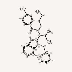 Cc1ccc(C(=O)N(CCCN)C(c2nc3cccc(C)c3n2Cc2ccccc2)C(C)C)cc1